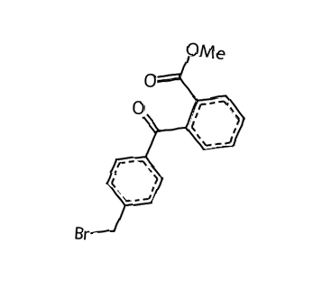 COC(=O)c1ccccc1C(=O)c1ccc(CBr)cc1